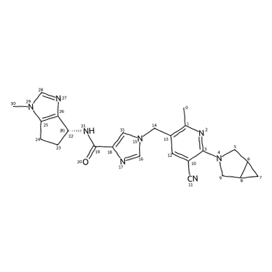 Cc1nc(N2CC3CC3C2)c(C#N)cc1Cn1cnc(C(=O)N[C@@H]2CCc3c2ncn3C)c1